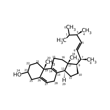 CC(C)[C@@H](C)C=C[C@@H](C)[C@H]1CC[C@H]2C3=C(CC[C@]12C)[C@@]1(C)CCC(O)CC1=CC3